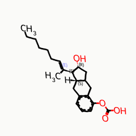 CCCCCC/C=C(\C)[C@H]1[C@H](O)CC2Cc3c(cccc3OC(=O)O)C[C@@H]21